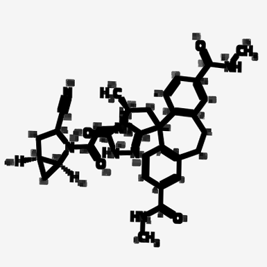 CNC(=O)c1ccc2c(c1)CCc1cc(C(=O)NC)ccc1C2(C[C@H](C)NCC(=O)N1C(C#N)C[C@@H]2C[C@@H]21)c1n[nH]c(=O)[nH]1